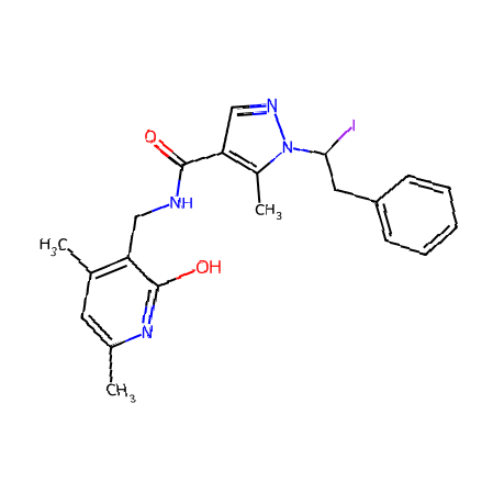 Cc1cc(C)c(CNC(=O)c2cnn(C(I)Cc3ccccc3)c2C)c(O)n1